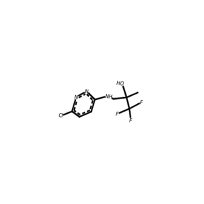 CC(O)(CNc1ccc(Cl)nn1)C(F)(F)F